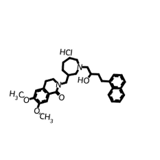 COc1cc2c(cc1OC)C(=O)N(CC1CCCCN(CC(O)CCc3cccc4ccccc34)C1)CC2.Cl